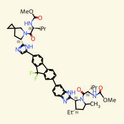 CC[C@H]1CC(C)N(C(=O)[C@@H](NC(=O)OC)C(C)C)[C@@H]1c1nc2ccc(-c3ccc4c(c3)C(F)(F)c3cc(-c5cnc([C@@H]6CC7(CC7)CN6C(=O)[C@@H](NC(=O)OC)C(C)C)[nH]5)ccc3-4)cc2[nH]1